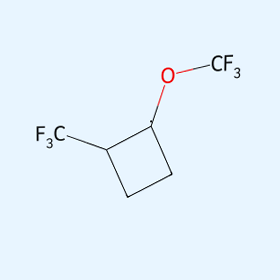 FC(F)(F)O[C]1CCC1C(F)(F)F